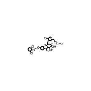 COCCCc1cc(CN(C(=O)C2=C(c3ccc(OCCOc4c(Cl)cccc4Cl)cc3)CCNC2CO)C2CC2)c(Cl)cn1